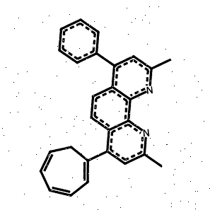 Cc1cc(C2=CC=CC=CC2)c2ccc3c(-c4ccccc4)cc(C)nc3c2n1